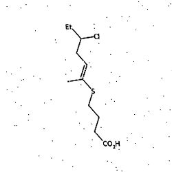 CCC(Cl)C/C=C(\C)SCCCC(=O)O